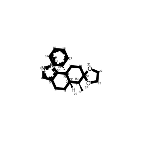 C[C@H]1[C@@H]2CCc3cnn(C)c3[C@@]2(c2ccccc2)CCC12OCCO2